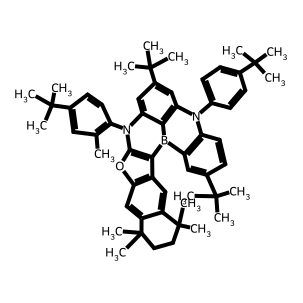 Cc1cc(C(C)(C)C)ccc1N1c2cc(C(C)(C)C)cc3c2B(c2cc(C(C)(C)C)ccc2N3c2ccc(C(C)(C)C)cc2)c2c1oc1cc3c(cc21)C(C)(C)CCC3(C)C